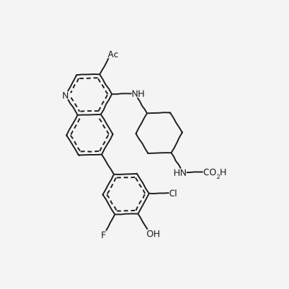 CC(=O)c1cnc2ccc(-c3cc(F)c(O)c(Cl)c3)cc2c1NC1CCC(NC(=O)O)CC1